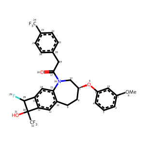 COc1cccc(O[C@H]2CCc3cc4c(cc3N(C(=O)Cc3ccc(C(F)(F)F)cc3)C2)C(F)C4(O)C(F)(F)F)c1